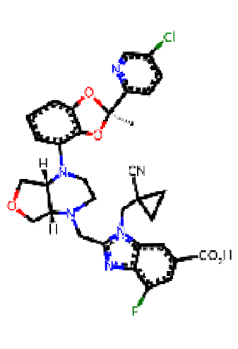 C[C@@]1(c2ccc(Cl)cn2)Oc2cccc(N3CCN(Cc4nc5c(F)cc(C(=O)O)cc5n4CC4(C#N)CC4)[C@@H]4COC[C@@H]43)c2O1